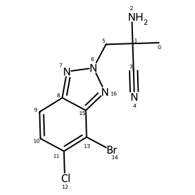 CC(N)(C#N)Cn1nc2ccc(Cl)c(Br)c2n1